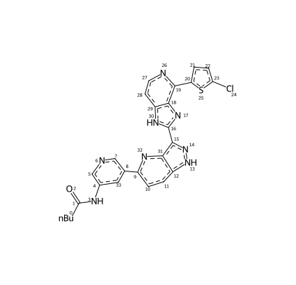 CCCCC(=O)Nc1cncc(-c2ccc3[nH]nc(-c4nc5c(-c6ccc(Cl)s6)nccc5[nH]4)c3n2)c1